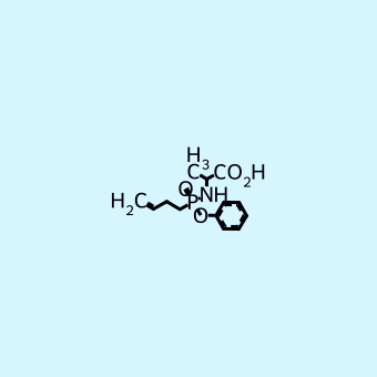 C=CCCP(=O)(NC(C)C(=O)O)Oc1ccccc1